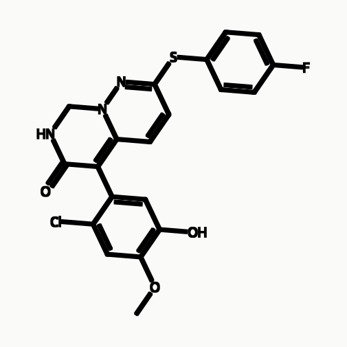 COc1cc(Cl)c(C2=C3C=CC(Sc4ccc(F)cc4)=NN3CNC2=O)cc1O